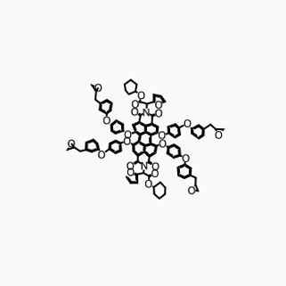 O=C(OC1CCCCC1)C(c1ccco1)N1C(=O)c2cc(Oc3ccc(Oc4cccc(CC5CO5)c4)cc3)c3c4c(Oc5ccc(Oc6cccc(CC7CO7)c6)cc5)cc5c6c(cc(Oc7ccc(Oc8cccc(CC9CO9)c8)cc7)c(c7c(Oc8ccc(Oc9cccc(CC%10CO%10)c9)cc8)cc(c2c37)C1=O)c64)C(=O)N(C(C(=O)OC1CCCCC1)c1ccco1)C5=O